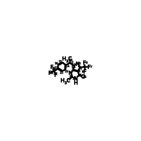 Cc1nc2c(c(C(F)(F)F)nn2C(C)c2ccc(C(F)(F)F)cc2)c(=O)[nH]1